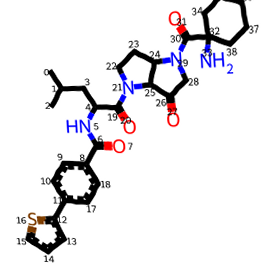 CC(C)CC(NC(=O)c1ccc(-c2cccs2)cc1)C(=O)N1CCC2C1C(=O)CN2C(=O)C1(N)CCCCC1